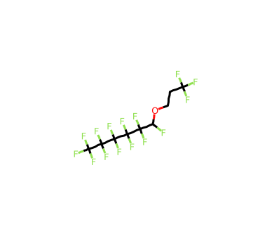 FC(OCCC(F)(F)F)C(F)(F)C(F)(F)C(F)(F)C(F)(F)C(F)(F)F